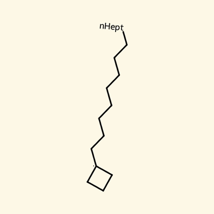 CCCCCCCCCCCCCCC[C]1CCC1